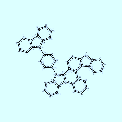 c1ccc2c(c1)sc1ccc3c(c4ccccc4c4c5ccccc5n(-c5ccc(-n6c7ccccc7c7ccccc76)cc5)c34)c12